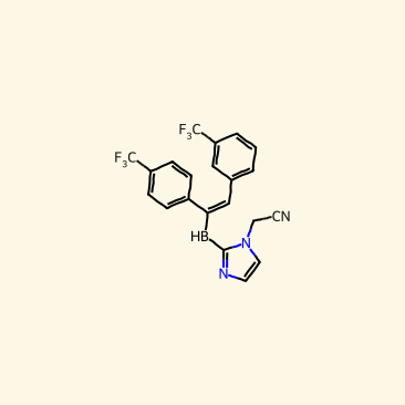 N#CCn1ccnc1BC(=Cc1cccc(C(F)(F)F)c1)c1ccc(C(F)(F)F)cc1